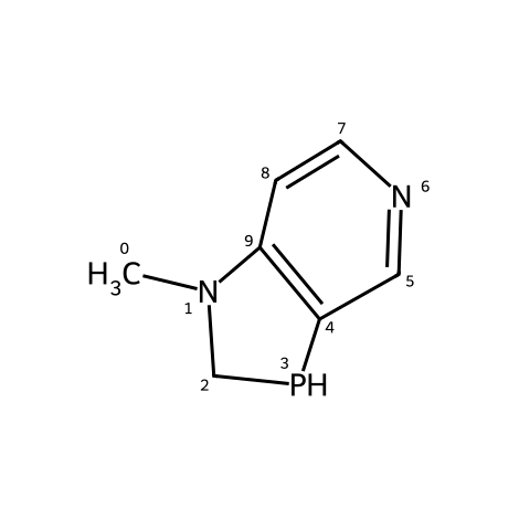 CN1CPc2cnccc21